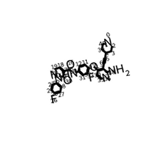 CN1CCC(C#Cc2c(Oc3ccc(NC(=O)c4ccnn(-c5ccc(F)cc5)c4=O)cc3F)ccnc2N)CC1